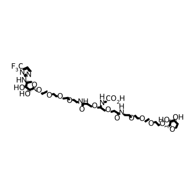 O=C(O)CNC(COCCC(=O)NCCOCCOCCOCCOC[C@H]1OC[C@H](Nc2nccc(C(F)(F)F)n2)[C@@H](O)[C@H]1O)COCCC(=O)NCCOCCOCCOCCOC[C@H]1OCC[C@@H](O)[C@H]1O